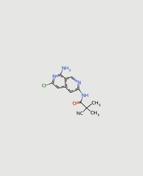 CC(C)(C#N)C(=O)Nc1cc2cc(Cl)nc(N)c2cn1